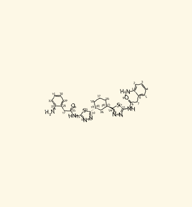 Nc1ccccc1CC(=O)Nc1nnc([C@@H]2CCC[C@@H](c3nnc(NC(=O)Cc4ccccc4N)s3)C2)s1